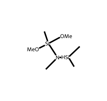 CO[Si](C)(OC)N(C)[SiH](C)C